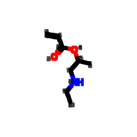 C=CC(=O)OC(C)CNCC